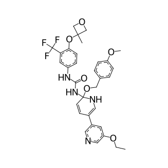 CCOc1cncc(C2=CNC(NC(=O)Nc3ccc(OC4(C)COC4)c(C(F)(F)F)c3)(OCc3ccc(OC)cc3)C=C2)c1